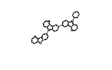 c1ccc(-n2c3ccc(-c4ccc5c(c4)c4ncccc4n5-c4ccc5oc6cccnc6c5c4)cc3c3ncccc32)cc1